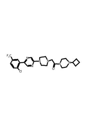 O=C(CN1CCN(c2cnc(-c3cc(C(F)(F)F)ccc3Cl)cn2)CC1)N1CCN(C2CCC2)CC1